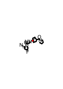 N#C[C@@H]1C[C@H](F)CN1C(=O)CNC12CCC(C(=O)N3CCCC3)(CC1)CC2